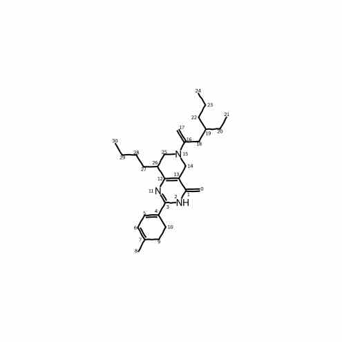 C=C1NC(C2=CC=C(C)CC2)=NC2=C1CN(C(=C)CC(CC)CCC)CC2CCCC